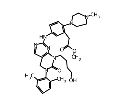 COC(=O)Cc1cc(Nc2ncc3c(n2)N(CCCCO)C(=O)N(c2c(C)cccc2C)C3)ccc1N1CCN(C)CC1